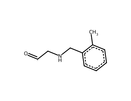 Cc1ccccc1CNC[C]=O